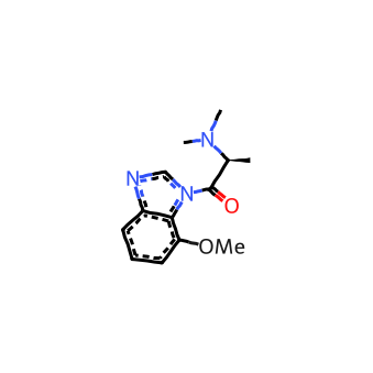 COc1cccc2ncn(C(=O)[C@H](C)N(C)C)c12